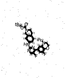 CC(C)N1CCOc2c(F)cc(-c3nc(Nc4ccc5c(c4)CN(C(=O)OC(C)(C)C)CC5)ncc3F)cc21